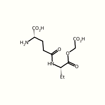 CC[C@H](NC(=O)CC[C@H](N)C(=O)O)C(=O)OCC(=O)O